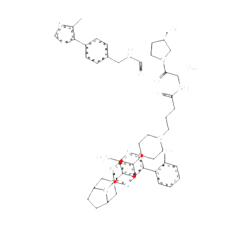 Cc1ncsc1-c1ccc(CNC(=O)[C@@H]2C[C@@H](O)CN2C(=O)[C@@H](NC(=O)CCCN2CCC(c3cnc(N4C5CCC4CN(c4cc(-c6ccccc6O)nnc4N)C5)nc3)CC2)C(C)(C)C)cc1